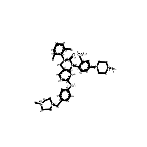 COc1cc(N2CCN(C(C)=O)CC2)ccc1N1C(=O)N(c2c(C)cccc2C)Cc2cnc(Nc3ccc(CN4CCN(C)CC4)cc3)nc21